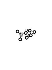 Cc1ccccc1-c1ccc2c(oc3ccccc32)c1-c1cccc2oc3cc(-c4nc(-c5ccccc5)nc(-c5ccccc5)n4)ccc3c12